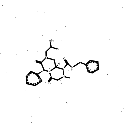 CCCCC(CC)CN1C[C@H]2N(C(=O)CN(C)N2C(=O)NCc2ccccc2)[C@@H](c2ccccc2)C1=O